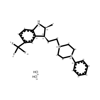 C[C@@H]1Nc2ccc(C(F)(F)F)cc2[C@@H]1CCN1CCN(c2ccccc2)CC1.Cl.Cl